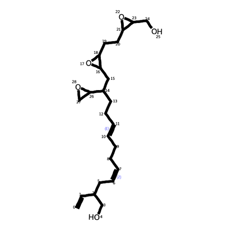 C=CC(CO)C/C=C\CC/C=C/CCC(CC1OC1CCC1OC1CO)C1CO1